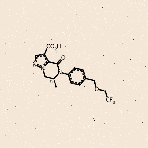 C[C@H]1Cn2ncc(C(=O)O)c2C(=O)N1c1ccc(COCC(F)(F)F)cc1